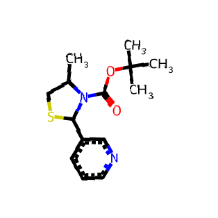 CC1CSC(c2cccnc2)N1C(=O)OC(C)(C)C